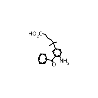 CC(C)(CCCC(=O)O)c1ccc(N)c(C(=O)c2ccccc2)c1